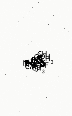 Cc1cc(-c2ccnn2C)c2cccc(OCc3c(Cl)cc(F)cc3[C@H](C)NC(=O)[C@H](C)O)c2n1